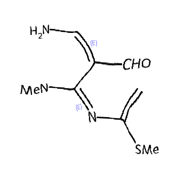 C=C(/N=C(NC)\C(C=O)=C/N)SC